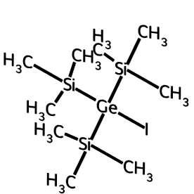 C[Si](C)(C)[Ge]([I])([Si](C)(C)C)[Si](C)(C)C